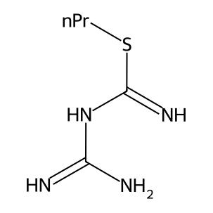 CCCSC(=N)NC(=N)N